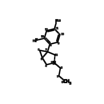 CCCN1CC2CC2(c2ccc(F)cc2F)C1